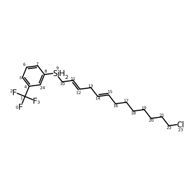 FC(F)(F)c1cccc([SiH2]CC=CCC=CCCCCCCCCl)c1